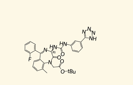 Cc1cccc2c1N(CC(=O)OC(C)(C)C)C(=O)[C@H](NC(=O)Nc1cccc(-c3nnn[nH]3)c1)N=C2c1ccccc1F